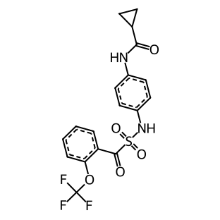 O=C(Nc1ccc(NS(=O)(=O)C(=O)c2ccccc2OC(F)(F)F)cc1)C1CC1